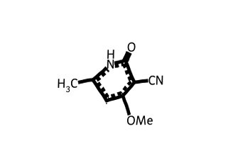 COc1[c]c(C)[nH]c(=O)c1C#N